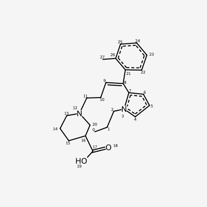 CCCn1cccc1C(=CCCN1CCCC(C(=O)O)C1)c1ccccc1C